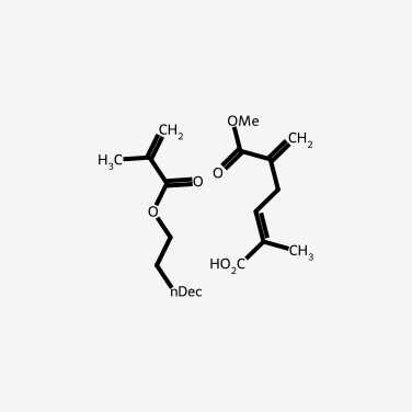 C=C(C)C(=O)OCCCCCCCCCCCC.C=C(CC=C(C)C(=O)O)C(=O)OC